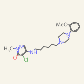 COc1ccccc1N1CCN(CCCCCCNc2cnn(C)c(=O)c2Cl)CC1